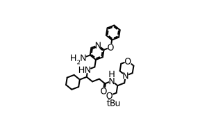 CC(C)(C)OCC(CN1CCOCC1)NC(=O)CCC(NCc1cc(Oc2ccccc2)ncc1N)C1CCCCC1